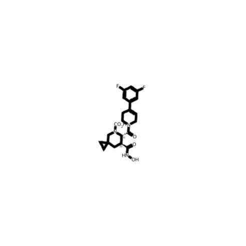 O=C(NO)[C@H]1CC2(CC2)CN(C(=O)O)[C@@H]1C(=O)N1CC=C(c2cc(F)cc(F)c2)CC1